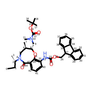 CC[C@H](C)N1C[C@@H](C)[C@H](CN(C)C(=O)OC(C)(C)C)Oc2c(NC(=O)OCC3c4ccccc4-c4ccccc43)cccc2C1=O